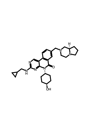 O=c1c2cc(CN3CCN4CCC[C@@H]4C3)ccc2c2cnc(NCC3CC3)nc2n1[C@H]1CC[C@H](O)CC1